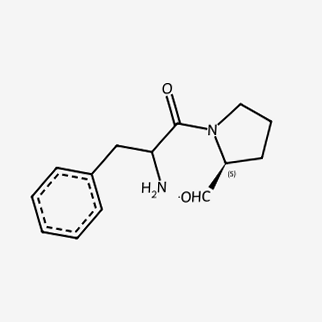 NC(Cc1ccccc1)C(=O)N1CCC[C@H]1[C]=O